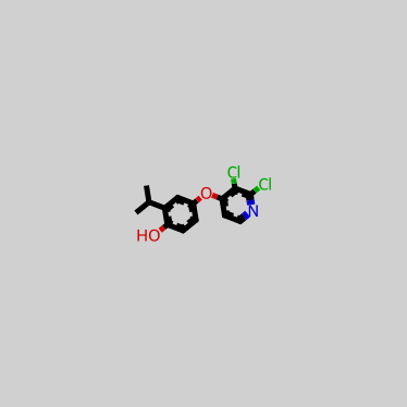 CC(C)c1cc(Oc2ccnc(Cl)c2Cl)ccc1O